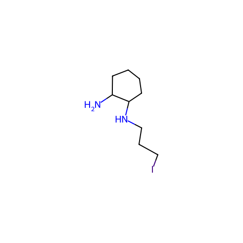 NC1CCCCC1NCCCI